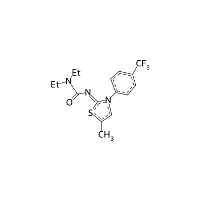 CCN(CC)C(=O)/N=c1\sc(C)cn1-c1ccc(C(F)(F)F)cc1